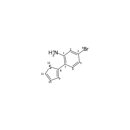 Nc1cc(Br)ccc1-c1cccs1